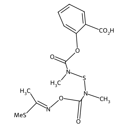 CSC(C)=NOC(=O)N(C)SN(C)C(=O)Oc1ccccc1C(=O)O